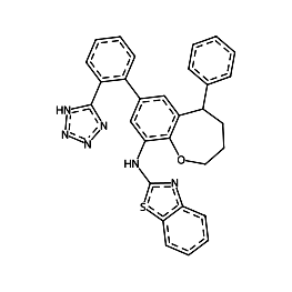 c1ccc(C2CCCOc3c(Nc4nc5ccccc5s4)cc(-c4ccccc4-c4nnn[nH]4)cc32)cc1